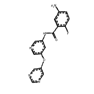 Nc1ccc(F)c(C(=O)Nc2cncc(Oc3cncnc3)c2)c1